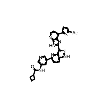 CC(=O)c1ccc(-c2ccnc3[nH]c(-c4n[nH]c5ccc(-c6cncc(NC(=O)C7CCC7)c6)nc45)nc23)s1